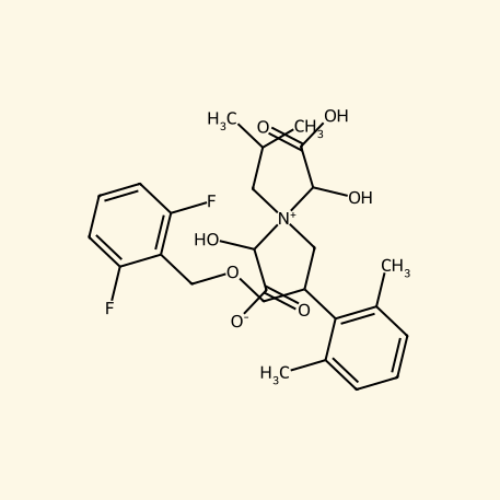 Cc1cccc(C)c1C(COCc1c(F)cccc1F)C[N+](CC(C)C)(C(O)C(=O)[O-])C(O)C(=O)O